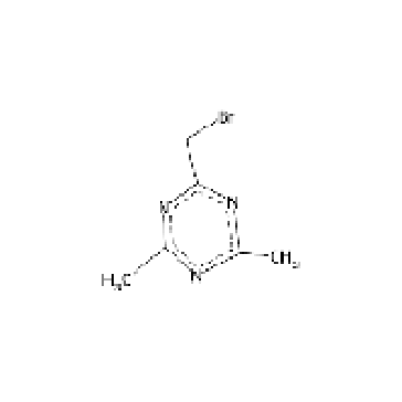 Cc1nc(C)nc(CBr)n1